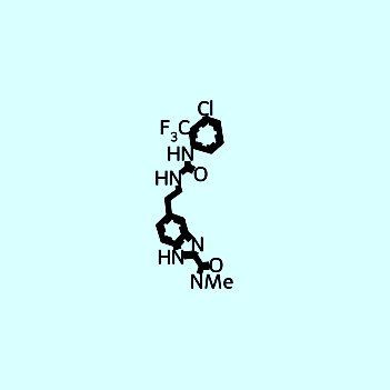 CNC(=O)c1nc2cc(CCNC(=O)Nc3cccc(Cl)c3C(F)(F)F)ccc2[nH]1